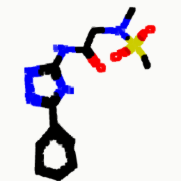 CN(CC(=O)Nc1nnc(-c2ccccc2)[nH]1)S(C)(=O)=O